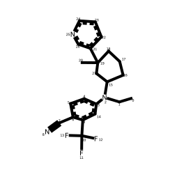 CCN(c1ccc(C#N)c(C(F)(F)F)c1)C1CCCC(C)(c2cccnc2)C1